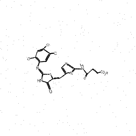 O=C(O)CCC(=O)Nc1ncc(/C=C2\S/C(=N\c3cc(Cl)c(Cl)cc3Cl)NC2=O)s1